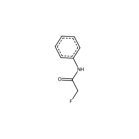 O=C(CF)Nc1cc[c]cc1